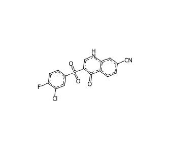 N#Cc1ccc2c(=O)c(S(=O)(=O)c3ccc(F)c(Cl)c3)c[nH]c2c1